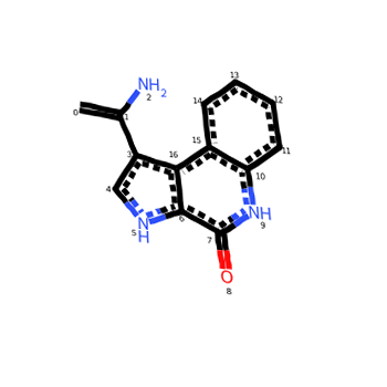 C=C(N)c1c[nH]c2c(=O)[nH]c3ccccc3c12